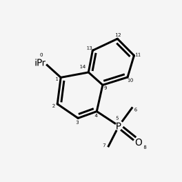 CC(C)c1ccc(P(C)(C)=O)c2ccccc12